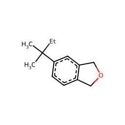 CCC(C)(C)c1ccc2c(c1)COC2